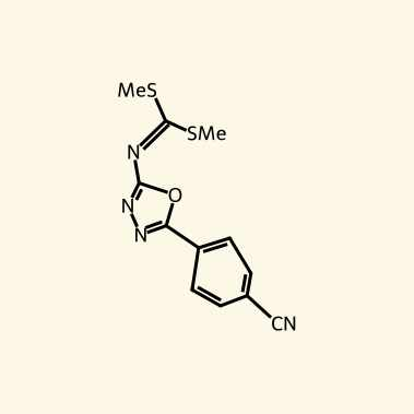 CSC(=Nc1nnc(-c2ccc(C#N)cc2)o1)SC